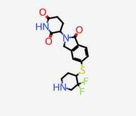 O=C1CCC(N2Cc3cc(SC4CCNCC4(F)F)ccc3C2=O)C(=O)N1